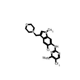 CNc1nc(Nc2cc3c(cc2Cl)c([C]N2CCOCC2)cn3C)ncc1C(F)(F)F